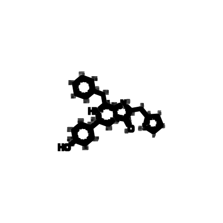 O=c1c(Cc2cccs2)nc2c(Cc3ccccc3)[nH]c(-c3ccc(O)cc3)cn1-2